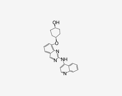 O[C@H]1CC[C@@H](Oc2cccc3cnc(Nc4ccnc5ccccc45)nc23)CC1